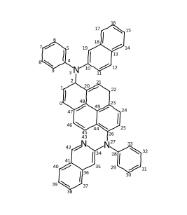 C1=CC(N(c2ccccc2)c2ccc3ccccc3c2)C2=CCc3ccc(N(c4ccccc4)c4cc5ccccc5cn4)c4ccc1c2c34